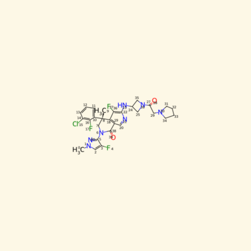 Cn1cc(F)c(N2C[C@](C)(c3cccc(Cl)c3F)c3c(cnc(NC4CN(C(=O)CN5CCCC5)C4)c3F)C2=O)n1